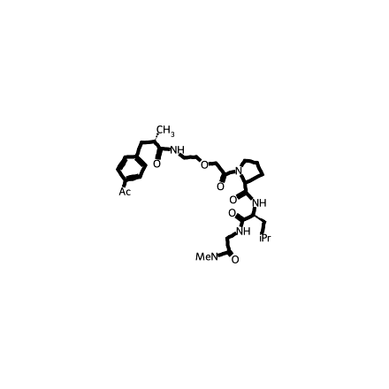 CNC(=O)CNC(=O)[C@H](CC(C)C)NC(=O)C1CCCN1C(=O)COCCNC(=O)[C@@H](C)Cc1ccc(C(C)=O)cc1